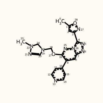 Cc1cc(-c2nnc3cc(-c4ccncc4)c(OCN4C=NN(C)C4)nn23)no1